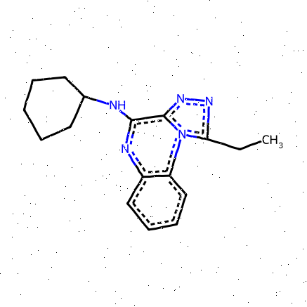 CCc1nnc2c(NC3CCCCC3)nc3ccccc3n12